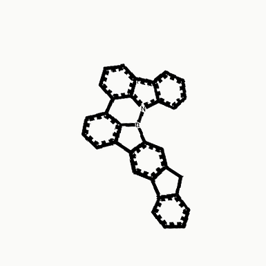 c1ccc2c(c1)Cc1cc3c(cc1-2)-c1cccc2c1B3n1c3ccccc3c3cccc-2c31